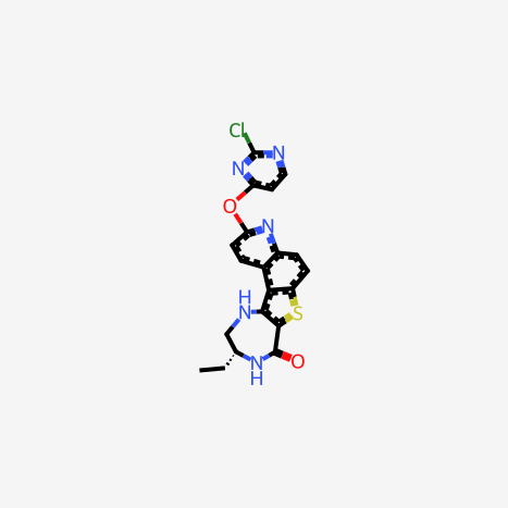 CC[C@@H]1CNc2c(sc3ccc4nc(Oc5ccnc(Cl)n5)ccc4c23)C(=O)N1